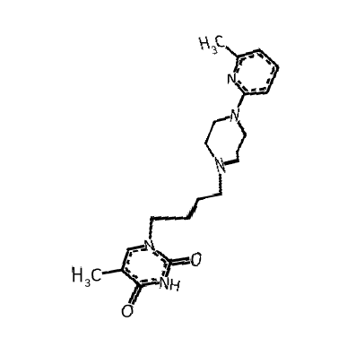 Cc1cccc(N2CCN(CCCCn3cc(C)c(=O)[nH]c3=O)CC2)n1